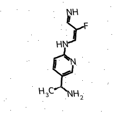 C[C@H](N)c1ccc(N/C=C(/F)C=N)nc1